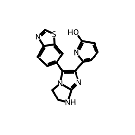 Oc1cccc(-c2nc3n(c2-c2ccc4ncsc4c2)CCN3)n1